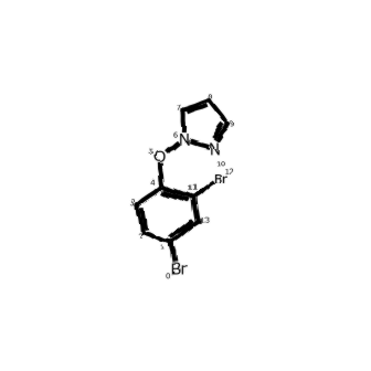 Brc1ccc(On2cc[c]n2)c(Br)c1